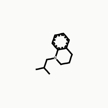 C[C](C)CN1CCCc2ccccc21